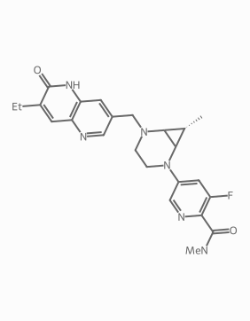 CCc1cc2ncc(CN3CCN(c4cnc(C(=O)NC)c(F)c4)C4C3[C@@H]4C)cc2[nH]c1=O